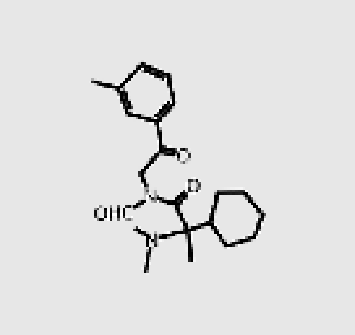 Cc1cccc(C(=O)CN(C=O)C(=O)C(C)(C2CCCCC2)N(C)C)c1